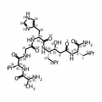 CC(C)C[C@H](NC(=O)C[C@H](O)[C@H](CC(C)C)NC(=O)[C@H](Cc1c[nH]cn1)NC(=O)CNC(=O)[C@@H](NC(=O)[C@H](C)N)C(C)C)C(N)=O